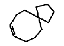 C1=CCCC2(CCC1)CCCC2